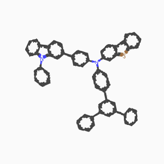 c1ccc(-c2cc(-c3ccccc3)cc(-c3ccc(N(c4ccc(-c5ccc6c7ccccc7n(-c7ccccc7)c6c5)cc4)c4ccc5c(c4)sc4ccccc45)cc3)c2)cc1